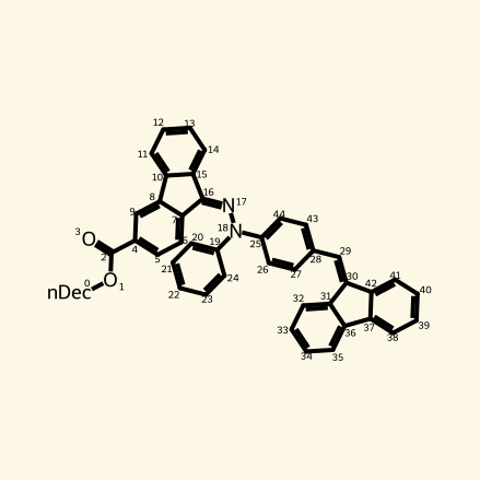 CCCCCCCCCCOC(=O)c1ccc2c(c1)-c1ccccc1/C2=N/N(c1ccccc1)c1ccc(C=C2c3ccccc3-c3ccccc32)cc1